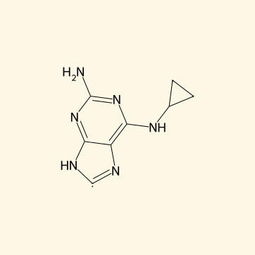 Nc1nc(NC2CC2)c2n[c][nH]c2n1